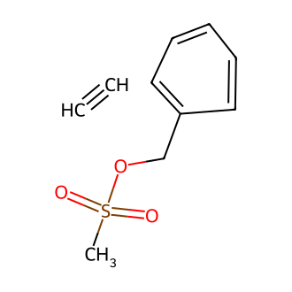 C#C.CS(=O)(=O)OCc1ccccc1